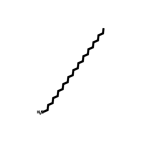 CCCCCCCCCCCCCCCCCCCCCCCC[SiH3]